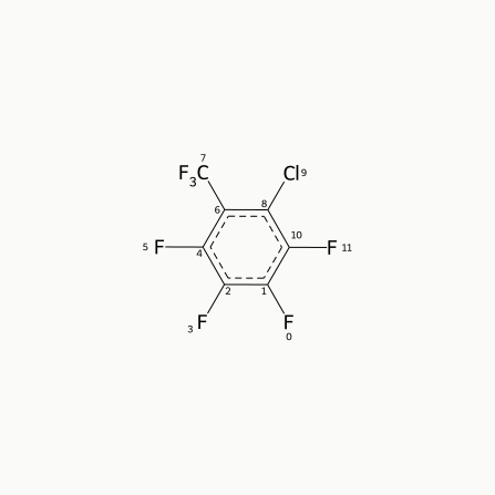 Fc1c(F)c(F)c(C(F)(F)F)c(Cl)c1F